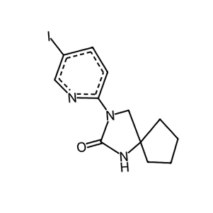 O=C1NC2(CCCC2)CN1c1ccc(I)cn1